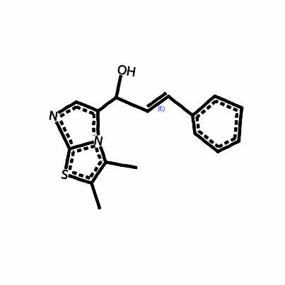 Cc1sc2ncc(C(O)/C=C/c3ccccc3)n2c1C